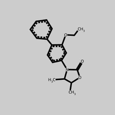 CCOc1cc(N2C(=O)OC(C)C2C)ccc1-c1ccccc1